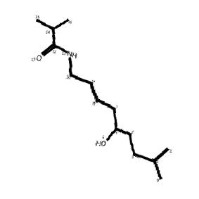 CC(C)CCC(O)CCCCNC(=O)C(C)C